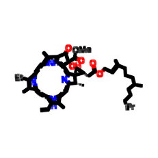 C=Cc1c(C)c2cc3nc(c4c5[nH]c(cc6nc(cc1[nH]2)C(C)=C6CC)c(C)c5C(=O)[C@]4(O)C(=O)OC)[C@@]1(C[C@@H]1CC(=O)OC/C=C(\C)CCCC(C)CCCC(C)C)[C@@H]3C